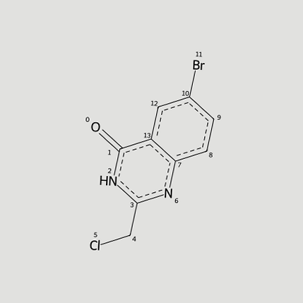 O=c1[nH]c(CCl)nc2ccc(Br)cc12